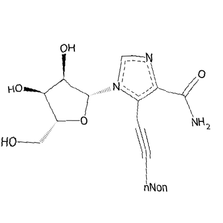 CCCCCCCCCC#Cc1c(C(N)=O)ncn1[C@@H]1O[C@H](CO)[C@@H](O)[C@H]1O